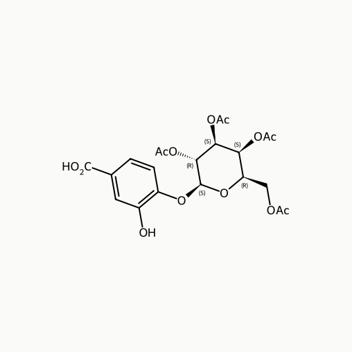 CC(=O)OC[C@H]1O[C@@H](Oc2ccc(C(=O)O)cc2O)[C@H](OC(C)=O)[C@@H](OC(C)=O)[C@H]1OC(C)=O